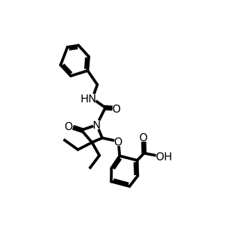 CCC1(CC)C(=O)N(C(=O)NCc2ccccc2)C1Oc1ccccc1C(=O)O